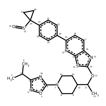 CC(C)c1noc(N2CCC(C(C)Oc3nc4ccc(-c5ccc(C6([S+]=O)CC6)cc5)nc4s3)CC2)n1